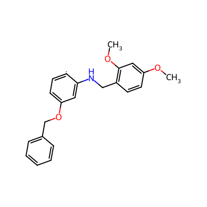 COc1ccc(CNc2[c]ccc(OCc3ccccc3)c2)c(OC)c1